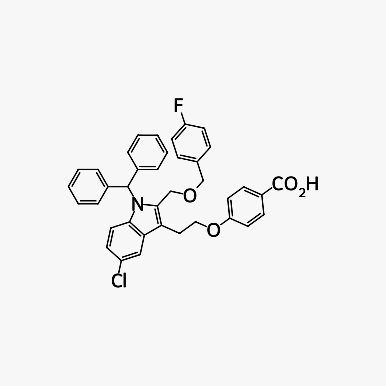 O=C(O)c1ccc(OCCc2c(COCc3ccc(F)cc3)n(C(c3ccccc3)c3ccccc3)c3ccc(Cl)cc23)cc1